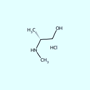 CN[C@H](C)CO.Cl